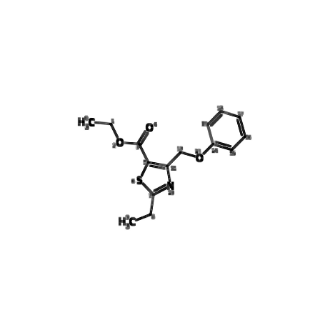 CCOC(=O)c1sc(CC)nc1COc1ccccc1